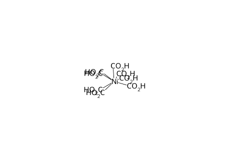 O=[C](O)[Ni]([C](=O)O)([C](=O)O)([C](=O)O)([C](=O)O)([C](=O)O)([C](=O)O)[C](=O)O